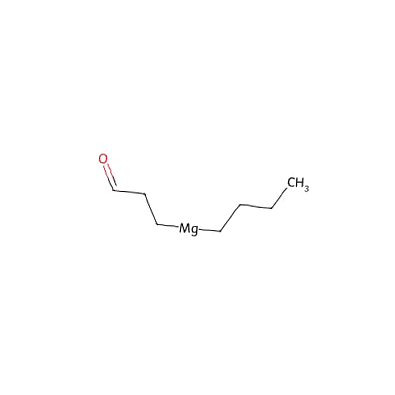 CCC[CH2][Mg][CH2]CC=O